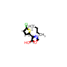 CCCC.Oc1ocnc1-c1ccc(Cl)s1